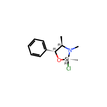 C[C@@H]1[C@@H](c2ccccc2)O[Si@](C)(Cl)N1C